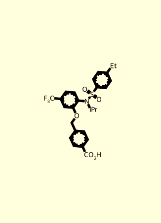 CCc1ccc(S(=O)(=O)N(c2ccc(C(F)(F)F)cc2OCc2ccc(C(=O)O)cc2)C(C)C)cc1